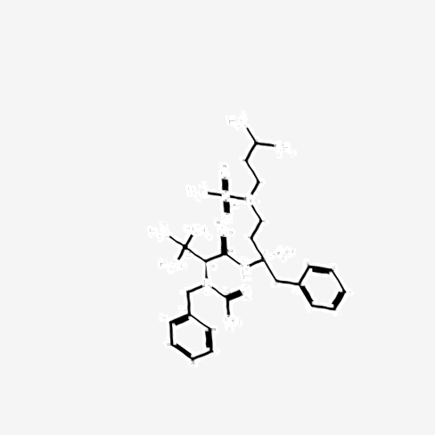 CC(C)CCN(CC[C@@](O)(Cc1ccccc1)NC(=O)[C@@H](N(Cc1ccccc1)C(=O)O)C(C)(C)C)S(C)(=O)=O